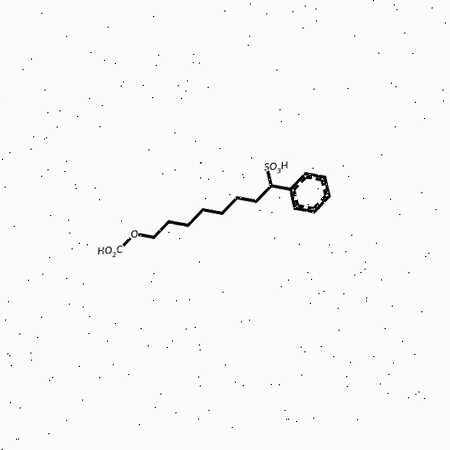 O=C(O)OCCCCCCCC(c1ccccc1)S(=O)(=O)O